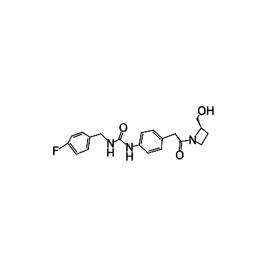 O=C(NCc1ccc(F)cc1)Nc1ccc(CC(=O)N2CC[C@@H]2CO)cc1